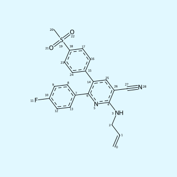 C=CCNc1nc(-c2ccc(F)cc2)c(-c2ccc(S(C)(=O)=O)cc2)cc1C#N